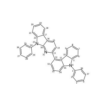 c1ccc(-n2c3ccccc3c3c(-c4ccc5c6ccccc6n(-c6ccccc6)c5n4)cccc32)cc1